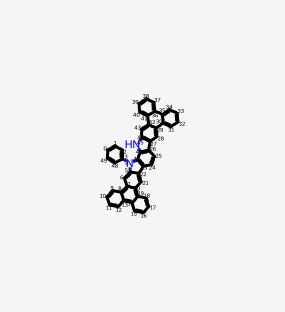 c1ccc(-n2c3cc4c5ccccc5c5ccccc5c4cc3c3ccc4c5cc6c7ccccc7c7ccccc7c6cc5[nH]c4c32)cc1